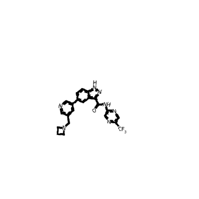 O=C(Nc1cnc(C(F)(F)F)cn1)c1n[nH]c2ccc(-c3cncc(CN4CCC4)c3)cc12